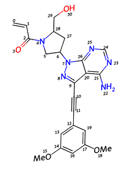 C=CC(=O)N1CC(n2nc(C#Cc3cc(OC)cc(OC)c3)c3c(N)ncnc32)CC1CO